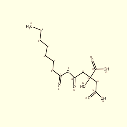 CCCCCCCC(=O)OC(=O)CC(O)(CC(=O)O)C(=O)O